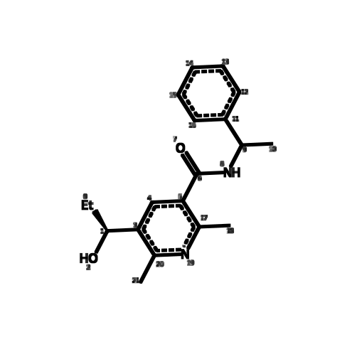 CC[C@H](O)c1cc(C(=O)NC(C)c2ccccc2)c(C)nc1C